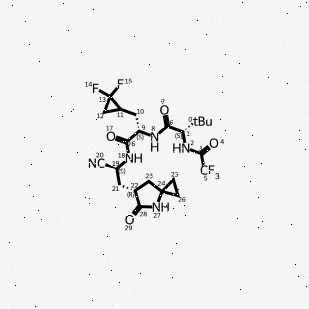 CC(C)(C)[C@H](NC(=O)C(F)(F)F)C(=O)N[C@@H](CC1CC1(F)F)C(=O)N[C@H](C#N)C[C@@H]1CC2(CC2)NC1=O